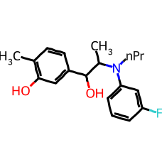 CCCN(c1cccc(F)c1)C(C)C(O)c1ccc(C)c(O)c1